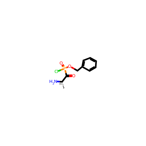 C[C@H](N)C(=O)P(=O)(Cl)OCc1ccccc1